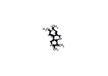 C=C/C=C1/COc2c(cnc(C)c2C)/C1=C/C=C